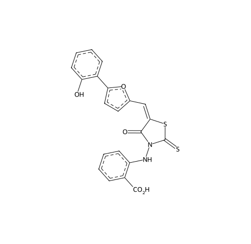 O=C(O)c1ccccc1NN1C(=O)/C(=C\c2ccc(-c3ccccc3O)o2)SC1=S